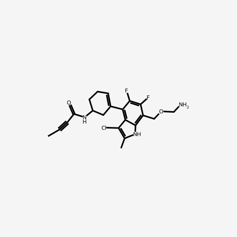 CC#CC(=O)NC1CCC=C(c2c(F)c(F)c(COCN)c3[nH]c(C)c(Cl)c23)C1